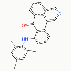 Cc1cc(C)c(Nc2cccc3c2C(=O)c2cccc4cncc-3c24)c(C)c1